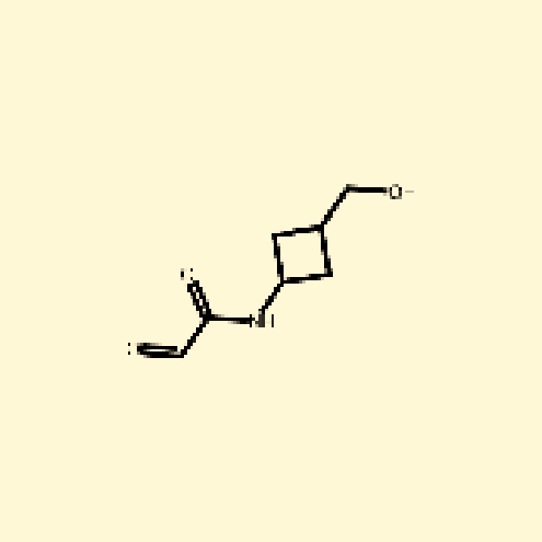 O=CC(=O)NC1CC(CO)C1